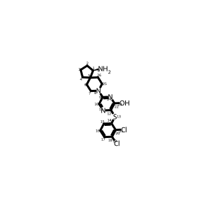 N[C@@H]1CCCC12CCN(c1cnc(Sc3cccc(Cl)c3Cl)c(O)n1)CC2